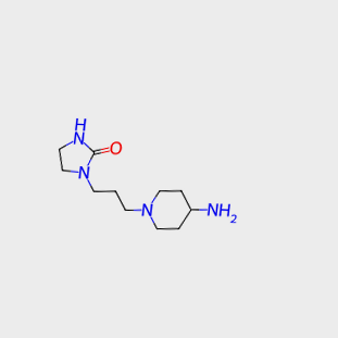 NC1CCN(CCCN2CCNC2=O)CC1